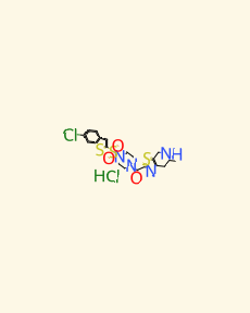 CC1Cc2nc(C(=O)N3CCN(S(=O)(=O)c4cc5ccc(Cl)cc5s4)CC3)sc2CN1.Cl